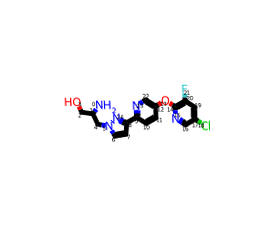 NC(CO)Cn1ccc(-c2ccc(Oc3ncc(Cl)cc3F)cn2)n1